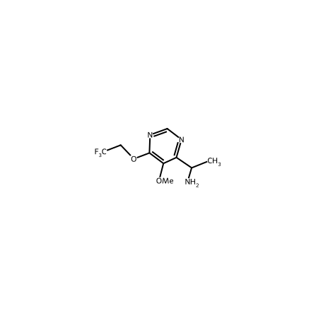 COc1c(OCC(F)(F)F)ncnc1C(C)N